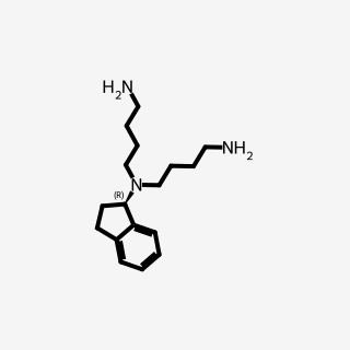 NCCCCN(CCCCN)[C@@H]1CCc2ccccc21